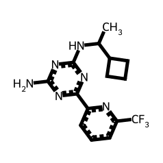 CC(Nc1nc(N)nc(-c2cccc(C(F)(F)F)n2)n1)C1CCC1